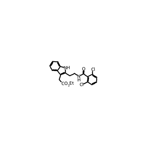 CCOC(=O)Cc1c(CCNC(=O)c2c(Cl)cccc2Cl)[nH]c2ccccc12